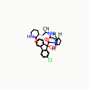 N#C[C@H](C[C@H]1CCCNC1=O)NC(=O)[C@@H]1[C@H]2CC[C@H](CC2(F)F)N1C(=O)C1(O)c2ccccc2-c2ccc(Cl)cc21